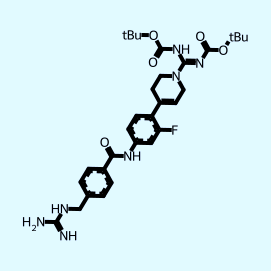 CC(C)(C)OC(=O)/N=C(\NC(=O)OC(C)(C)C)N1CC=C(c2ccc(NC(=O)c3ccc(CNC(=N)N)cc3)cc2F)CC1